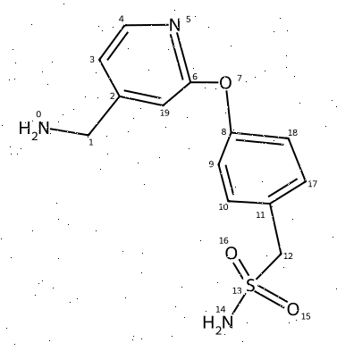 NCc1ccnc(Oc2ccc(CS(N)(=O)=O)cc2)c1